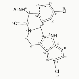 CC(=O)NC(C(=O)N1CCc2c([nH]c3ccc(Cl)cc23)C1)c1ccc(Cl)cc1